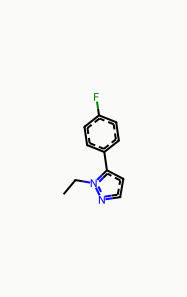 CCn1nccc1-c1ccc(F)cc1